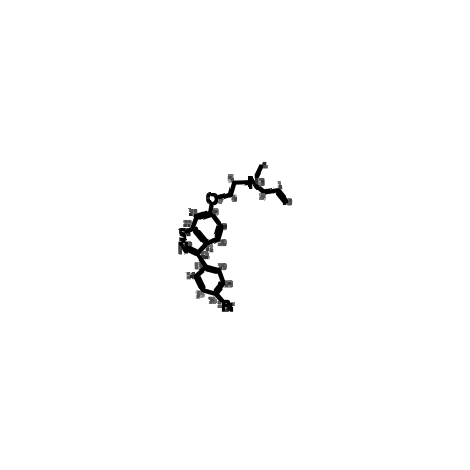 C=CCN(C)CCOc1ccc2c(-c3ccc(Br)cc3)nsc2c1